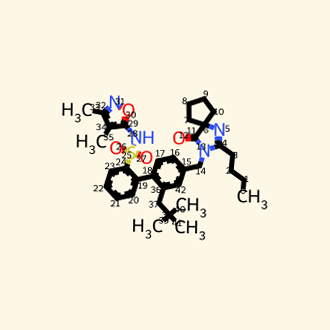 CCCCC1=NC2(CCCC2)C(=O)N1Cc1ccc(-c2ccccc2S(=O)(=O)Nc2onc(C)c2C)c(CC(C)(C)C)c1